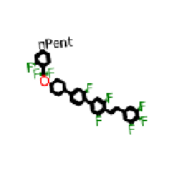 CCCCCc1ccc(C(F)(F)OC2CCC(c3ccc(-c4cc(F)c(/C=C/c5cc(F)c(F)c(F)c5)c(F)c4)c(F)c3)CC2)c(F)c1